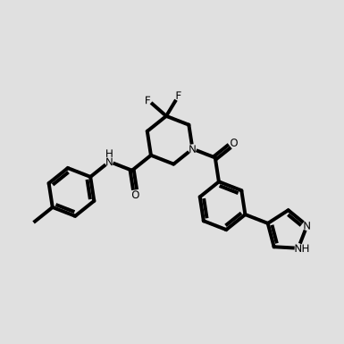 Cc1ccc(NC(=O)C2CN(C(=O)c3cccc(-c4cn[nH]c4)c3)CC(F)(F)C2)cc1